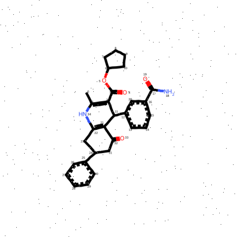 CC1=C(C(=O)OC2CCCC2)C(c2cccc(C(N)=O)c2)C2=C(CC(c3ccccc3)CC2=O)N1